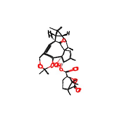 CC1=CC23C(=O)[C@@H](C=C4COC(C)(C)OC4[C@]2(O)[C@H]1OC(=O)C12CCC(C)(C(=O)O1)C2(C)C)[C@H]1[C@@H](C[C@H]3C)C1(C)C